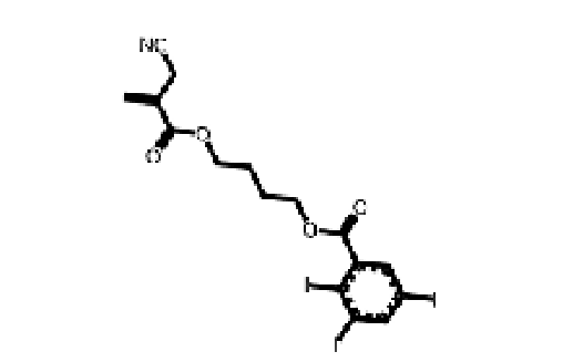 C=C(CC#N)C(=O)OCCCCOC(=O)c1cc(I)cc(I)c1I